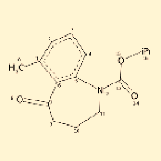 Cc1cccc2c1C(=O)CCCN2C(=O)OC(C)C